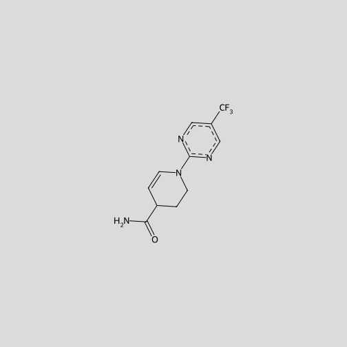 NC(=O)C1C=CN(c2ncc(C(F)(F)F)cn2)CC1